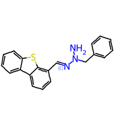 NN(Cc1ccccc1)/N=C/c1cccc2c1sc1ccccc12